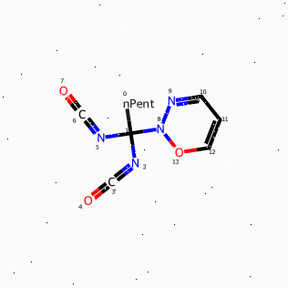 CCCCCC(N=C=O)(N=C=O)N1N=CC=CO1